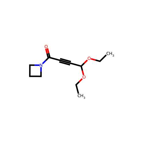 CCOC(C#CC(=O)N1CCC1)OCC